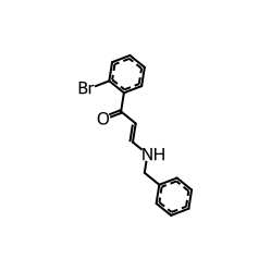 O=C(C=CNCc1ccccc1)c1ccccc1Br